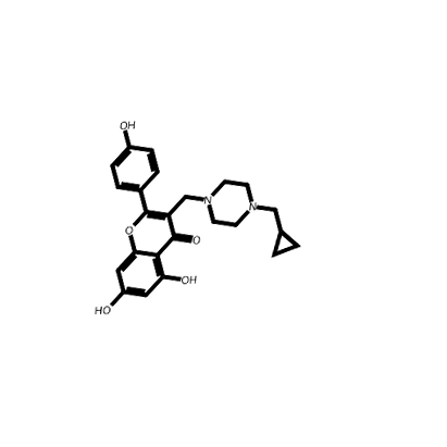 O=c1c(CN2CCN(CC3CC3)CC2)c(-c2ccc(O)cc2)oc2cc(O)cc(O)c12